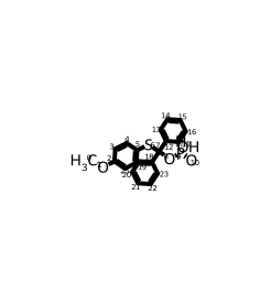 COc1ccc(SC(O[PH](=O)O)(c2ccccc2)c2ccccc2)cc1